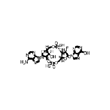 Nc1ncnc2c1ncn2[C@@H]1O[C@@H]2COP(=O)(S)O[C@H]3[C@@H](F)[C@H](n4cnc5c(O)ncnc54)O[C@@H]3COP(=O)(S)O[C@@H]1[C@@H]2O